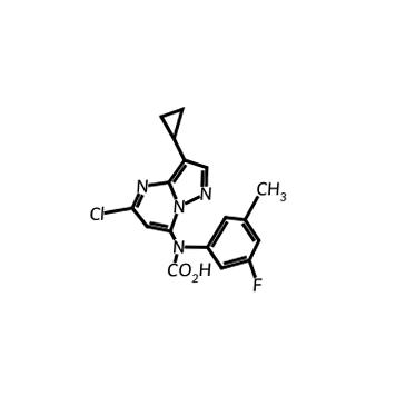 Cc1cc(F)cc(N(C(=O)O)c2cc(Cl)nc3c(C4CC4)cnn23)c1